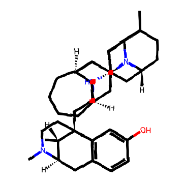 CC1CC[C@@H]2C[C@H](NCC[C@@]34CCN(C)[C@H](Cc5ccc(O)cc53)[C@@H]4C)CC1N2[C@@H]1C[C@@H]2CCCC[C@@H](C2)C1